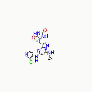 O=C1NC(=O)/C(=C/c2cnn3c(NC4CC4)cc(Nc4ccncc4Cl)nc23)N1